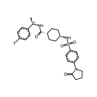 C[C@@H](NC(=O)[C@H]1CC[C@H](NS(=O)(=O)c2ccc(N3CCCC3=O)cc2)CC1)c1ccc(F)cc1